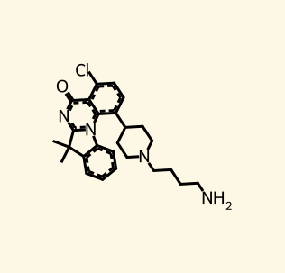 CC1(C)c2ccccc2-n2c1nc(=O)c1c(Cl)ccc(C3CCN(CCCCN)CC3)c12